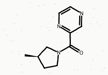 C[C@@H]1CCN(C(=O)c2cnccn2)C1